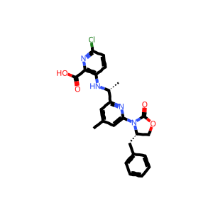 Cc1cc([C@@H](C)Nc2ccc(Cl)nc2C(=O)O)nc(N2C(=O)OC[C@@H]2Cc2ccccc2)c1